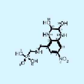 O=[N+]([O-])c1cc(CNCP(=O)(O)O)c2c(c1)NC(O)C(O)N2